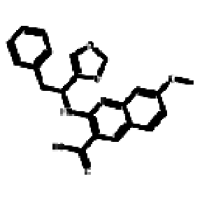 COc1ccc2cc(C(=O)O)c(NC(Cc3ccccc3)C3=COCO3)nc2c1